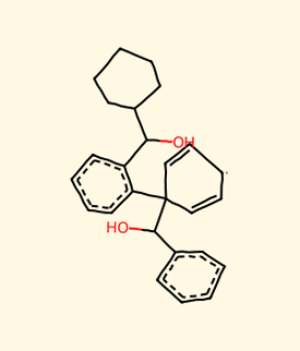 OC(c1ccccc1C1(C(O)c2ccccc2)C=C[CH]C=C1)C1CCCCC1